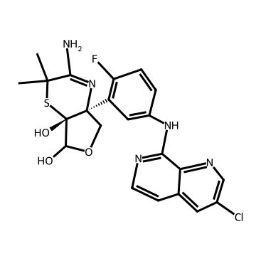 CC1(C)S[C@@]2(O)C(O)OC[C@]2(c2cc(Nc3nccc4cc(Cl)cnc34)ccc2F)N=C1N